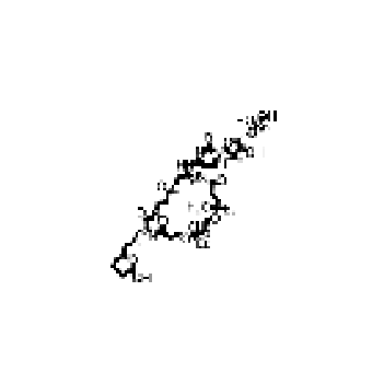 CCC(C)(CCOC(C)(CC)CCC(=O)C(C)(C)C)OCCC(=O)N[C@H](CSCC1CCC[C@@H](O)O1)C(=O)NCCC(=O)OCC(=O)Nc1ccn([C@@H]2O[C@H](COP(=O)(O)O)[C@@H](O)C2(F)F)c(=O)n1